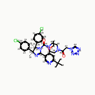 CCOc1cc(C(C)(C)C)ncc1C1=N[C@@](C)(c2ccc(Cl)cc2)[C@@](C)(c2ccc(Cl)cc2)N1C(=O)N1CCN(C(=O)Cn2cnnn2)CC1